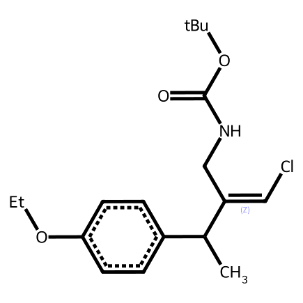 CCOc1ccc(C(C)/C(=C/Cl)CNC(=O)OC(C)(C)C)cc1